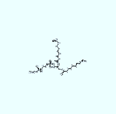 CCCCCCCCCCCCCCCCCC(=O)OCC(COP(=O)(OC)OCCNC(=O)COC)OC(=O)CCCCCCCCCCCCCCCCC